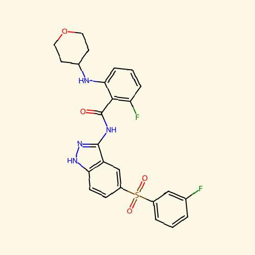 O=C(Nc1n[nH]c2ccc(S(=O)(=O)c3cccc(F)c3)cc12)c1c(F)cccc1NC1CCOCC1